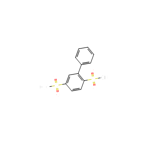 CS(=O)(=O)c1[c]c(-c2ccccc2)c(S(C)(=O)=O)cc1